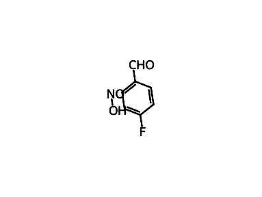 O=Cc1ccc(F)cc1.O=NO